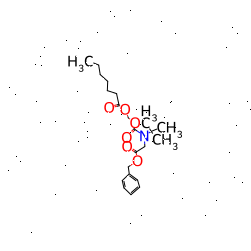 CCCCCCC(=O)OCOC(=O)N(CC(=O)OCc1ccccc1)C(C)(C)C